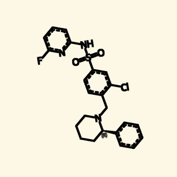 O=S(=O)(Nc1cccc(F)n1)c1ccc(CN2CCCC[C@@H]2c2ccccc2)c(Cl)c1